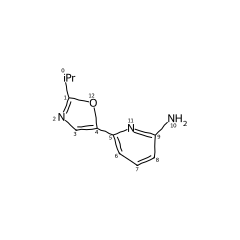 CC(C)c1ncc(-c2cccc(N)n2)o1